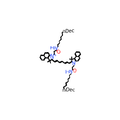 CCCCCCCCCCCCCCCCCCNC(=O)CCN1/C(=C/C=C/C=C/C=C/C2=[N+](CCC(=O)NCCCCCCCCCCCCCCCCCC)c3ccc4ccccc4c3C2(C)C)C(C)(C)c2c1ccc1ccccc21